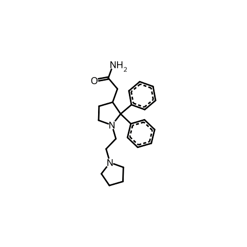 NC(=O)CC1CCN(CCN2CCCC2)C1(c1ccccc1)c1ccccc1